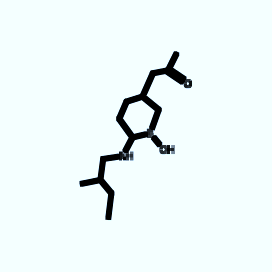 CCC(C)CNC1CCC(CC(C)=O)CB1O